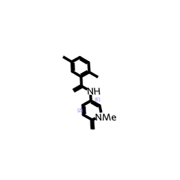 C=C(/C=C\C(=C/C)NC(=C)c1cc(C)ccc1C)NC